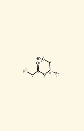 CC[C@@H](CC(=O)O)OC(=O)CC(C)C